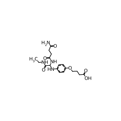 CCNC(=O)C(NC(=O)CCC(N)=O)Nc1ccc(OCCCC(=O)O)cc1